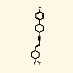 CCC[C@H]1CC[C@H](/C=C/C#C[C@H]2CC[C@H](c3ccc(CC)cc3)CC2)CC1